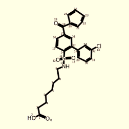 O=C(O)CCCCCCCNS(=O)(=O)c1ccc(C(=O)c2ccccc2)cc1-c1cccc(Cl)c1